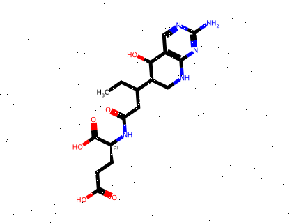 CCC(CC(=O)N[C@@H](CCC(=O)O)C(=O)O)C1CNc2nc(N)ncc2C1O